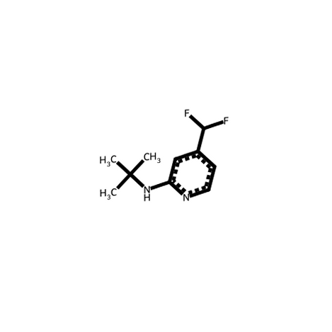 CC(C)(C)Nc1cc(C(F)F)ccn1